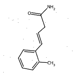 Cc1ccccc1/C=C/CC(N)=O